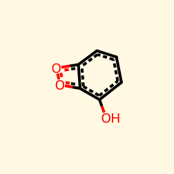 Oc1cccc2ooc12